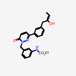 C/C=C(/O)Cc1cccc(-c2ccc(=O)n(Cc3cccc(NC(=O)OCC)c3)n2)c1